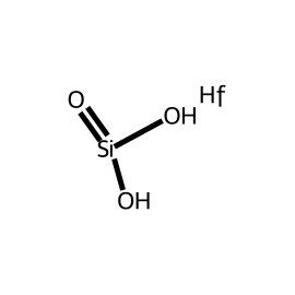 O=[Si](O)O.[Hf]